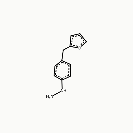 NNc1ccc(Cc2ccco2)cc1